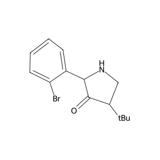 CC(C)(C)C1CNC(c2ccccc2Br)C1=O